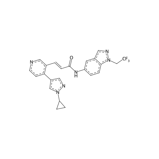 O=C(C=Cc1cnccc1-c1cnn(C2CC2)c1)Nc1ccc2c(cnn2CC(F)(F)F)c1